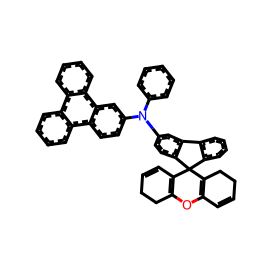 C1=CC2=C(CC1)OC1=C(CCC=C1)C21c2ccccc2-c2cc(N(c3ccccc3)c3ccc4c5ccccc5c5ccccc5c4c3)ccc21